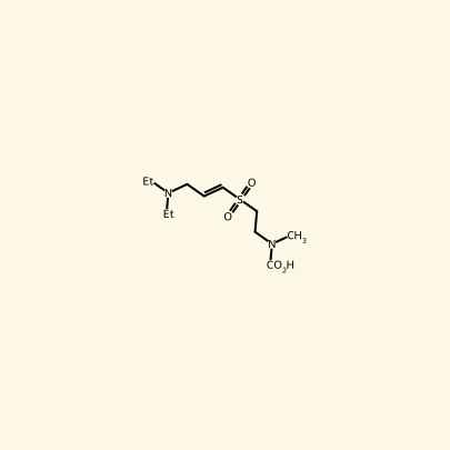 CCN(CC)CC=CS(=O)(=O)CCN(C)C(=O)O